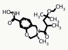 CCOC(C)(C)CC(C)C(=O)N1Cc2ccc(C(=O)NO)cc2OC[C@@H]1C